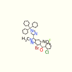 Cn1nc2c(Br)c(C(=O)c3cc(F)ccc3Cl)c([N+](=O)[O-])cc2c1-c1cn(C(c2ccccc2)(c2ccccc2)c2ccccc2)cn1